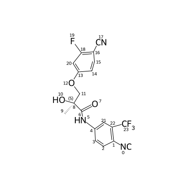 [C-]#[N+]c1ccc(NC(=O)[C@@](C)(O)COc2ccc(C#N)c(F)c2)cc1C(F)(F)F